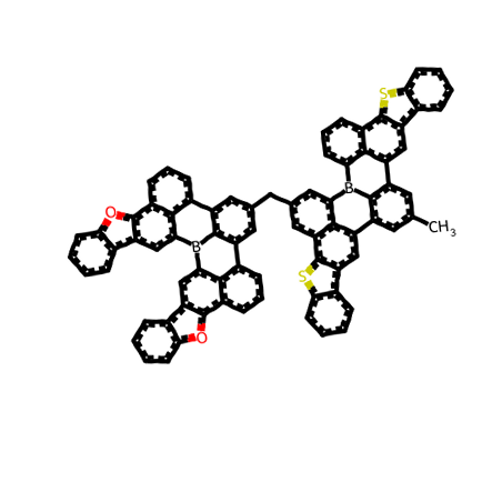 Cc1cc2c3c(c1)-c1cc4c5ccccc5sc4c4cc(Cc5cc6c7c(c5)-c5cccc8c5c(cc5c9ccccc9oc85)B7c5cc7c8ccccc8oc7c7cccc-6c57)cc(c14)B3c1cccc3c1c-2cc1c2ccccc2sc31